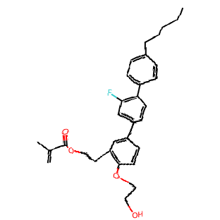 C=C(C)C(=O)OCCc1cc(-c2ccc(-c3ccc(CCCCC)cc3)c(F)c2)ccc1OCCO